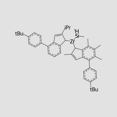 CC1=Cc2c(-c3ccc(C(C)(C)C)cc3)c(C)c(C)c(C)c2[CH]1[Zr]([CH]1C(C(C)C)=Cc2c(-c3ccc(C(C)(C)C)cc3)cccc21)[SiH](C)C